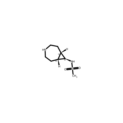 CS(=O)(=O)N[C@H]1[C@@H]2CCNCC[C@@H]21